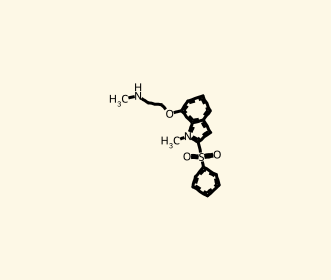 CNCCOc1cccc2cc(S(=O)(=O)c3ccccc3)n(C)c12